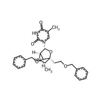 Cc1cn([C@@H]2O[C@@]3(CCOCc4ccccc4)[C@H](C)N[C@@H]2[C@@H]3OCc2ccccc2)c(=O)[nH]c1=O